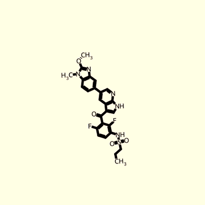 CCCS(=O)(=O)Nc1ccc(F)c(C(=O)c2c[nH]c3ncc(-c4ccc5c(c4)nc(OC)n5C)cc23)c1F